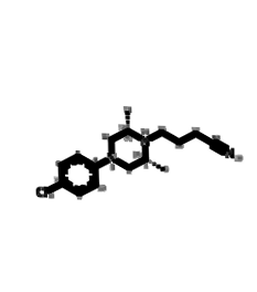 C[C@@H]1CN(c2ccc(Cl)cc2)C[C@H](C)N1CCCC#N